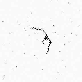 CCCCC#CCCCCC(C)(C)CCCCCC(CCCCCC(C)(C)CCCCC#CCCCC)CC(=O)CCCN(C)C